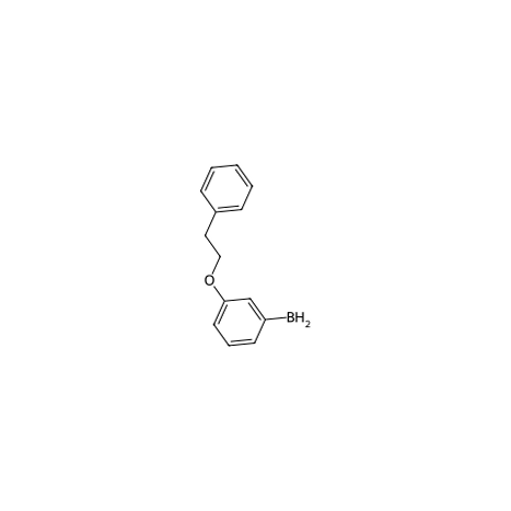 Bc1cccc(OCCc2ccccc2)c1